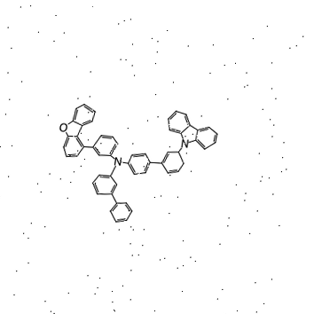 C1=CC(c2ccc(N(c3cccc(-c4ccccc4)c3)c3cccc(-c4cccc5oc6ccccc6c45)c3)cc2)=CC(n2c3ccccc3c3ccccc32)C1